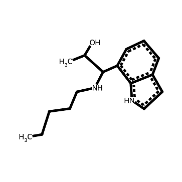 CCCCCNC(c1cccc2cc[nH]c12)C(C)O